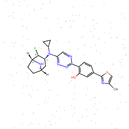 N#Cc1csc(-c2ccc(-c3ncc(N(C4CC4)[C@H]4C[C@@H]5CC[C@@H](N5)[C@H]4F)nn3)c(O)c2)n1